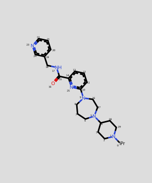 CC(C)N1CCC(N2CCCN(c3cccc(C(=O)NCc4cccnc4)n3)CC2)CC1